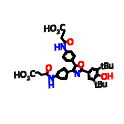 CC(C)(C)c1cc(-c2nc(-c3ccc(NC(=O)CCC(=O)O)cc3)c(-c3ccc(NC(=O)CCC(=O)O)cc3)o2)cc(C(C)(C)C)c1O